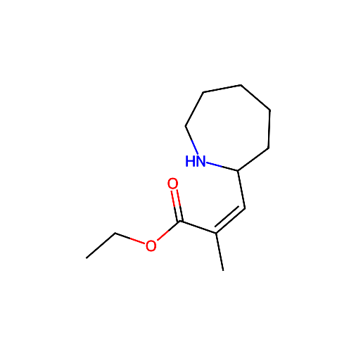 CCOC(=O)C(C)=CC1CCCCCN1